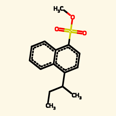 CCC(C)c1ccc(S(=O)(=O)OC)c2ccccc12